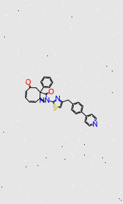 C=C1/C=C\C=C/C(=O)CC1(C(=O)Nc1nc(Cc2ccc(-c3ccncc3)cc2)cs1)c1ccccc1